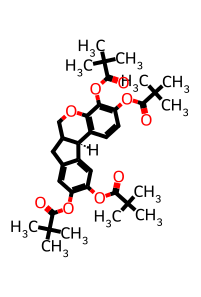 CC(C)(C)C(=O)Oc1cc2c(cc1OC(=O)C(C)(C)C)[C@@H]1c3ccc(OC(=O)C(C)(C)C)c(OC(=O)C(C)(C)C)c3OCC1C2